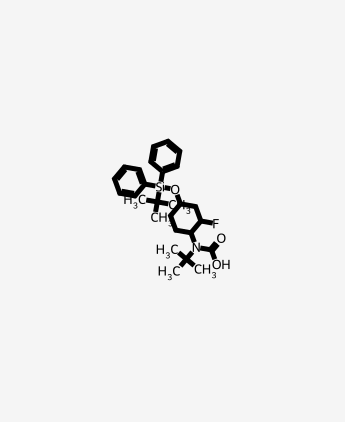 CC(C)(C)N(C(=O)O)C1CCC(O[Si](c2ccccc2)(c2ccccc2)C(C)(C)C)CC1F